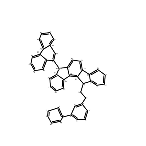 c1ccc(-c2cccc(CCC3c4ccccc4-c4ccc5c(c43)c3ccccc3n5-c3cc4ccccc4c4ccccc34)c2)cc1